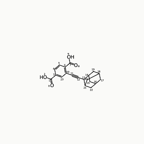 O=C(O)c1ccc(C(=O)O)c(C#CC2C3CC4CC(C3)CC2C4)c1